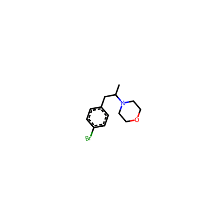 CC(Cc1ccc(Br)cc1)N1CCOCC1